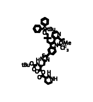 CO[C@@H](C)c1ncccc1-c1c(CC(C)(C)CO[Si](c2ccccc2)(c2ccccc2)C(C)(C)C)c2cc(-c3nc(C[C@H](NC(=O)OC(C)(C)C)C(=O)OC(=O)C4CCCNN4)ns3)ccc2n1CC(F)(F)F